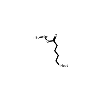 CCCCCCCCCCCC(=O)[O][Sn][CH2]CCC